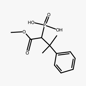 COC(=O)C(C(C)(C)c1ccccc1)P(=O)(O)O